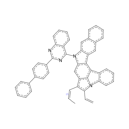 C=Cc1c(/C=C\C)c2cc3c(c4cc5ccccc5cc4n3-c3nc(-c4ccc(-c5ccccc5)cc4)nc4ccccc34)c3c4ccccc4n1c23